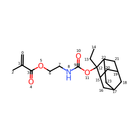 C=C(C)C(=O)OCCNC(=O)OC1(CC)C2CC3CC(C2)CC1C3